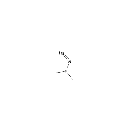 B=NP(C)C